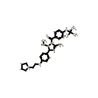 CNN1C(c2ccc(OCCN3CCCC3)cc2)N=C(N)N1C(=O)c1ccc(OC(C)(C)C)cc1